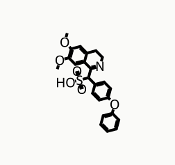 COc1cc2c(cc1OC)C(C(c1ccc(Oc3ccccc3)cc1)S(=O)(=O)O)=NCC2